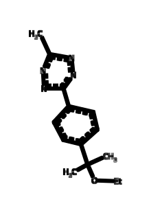 CCOC(C)(C)c1ccc(-c2nnc(C)nn2)cc1